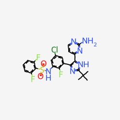 CC(C)(C)c1nc(-c2cc(Cl)cc(NS(=O)(=O)c3c(F)cccc3F)c2F)c(-c2ccnc(N)n2)[nH]1